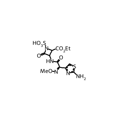 CCOC(=O)C1C(NC(=O)C(=NOC)c2csc(N)n2)C(=O)N1S(=O)(=O)O